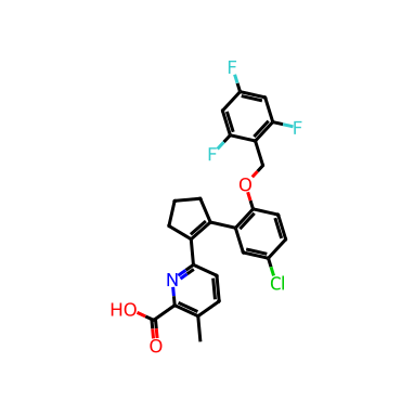 Cc1ccc(C2=C(c3cc(Cl)ccc3OCc3c(F)cc(F)cc3F)CCC2)nc1C(=O)O